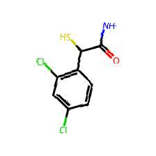 [NH]C(=O)C(S)c1ccc(Cl)cc1Cl